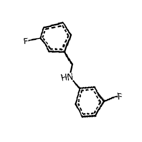 Fc1cccc(CNc2cccc(F)c2)c1